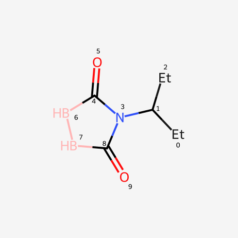 CCC(CC)N1C(=O)BBC1=O